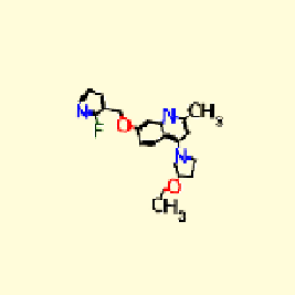 CCO[C@H]1CCN(c2cc(C)nc3cc(OCc4cccnc4F)ccc23)C1